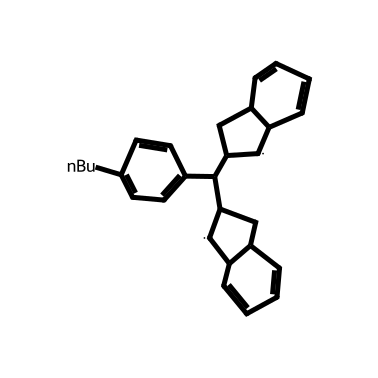 CCCCc1ccc(C(C2[CH]C3C=CC=CC3C2)C2[CH]C3C=CC=CC3C2)cc1